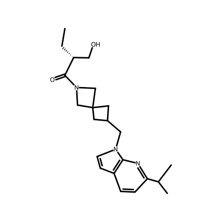 CC[C@H](CO)C(=O)N1CC2(CC(Cn3ccc4ccc(C(C)C)nc43)C2)C1